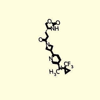 CN(c1ccc(C2CN(C(=O)CC[C@@H]3COC(=O)N3)C2)nc1)C1(C(F)(F)F)CC1